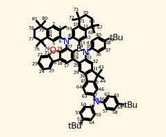 Cc1cc2c(cc1N1c3cc4c(cc3B3c5c(cc6c(oc7ccccc76)c51)-c1cc5c(cc1N3c1ccc(C(C)(C)C)cc1)C(C)(C)c1cc(N(c3ccc(C(C)(C)C)cc3)c3ccc(C(C)(C)C)cc3)ccc1-5)C(C)(C)CCC4(C)C)C(C)(C)CCC2(C)C